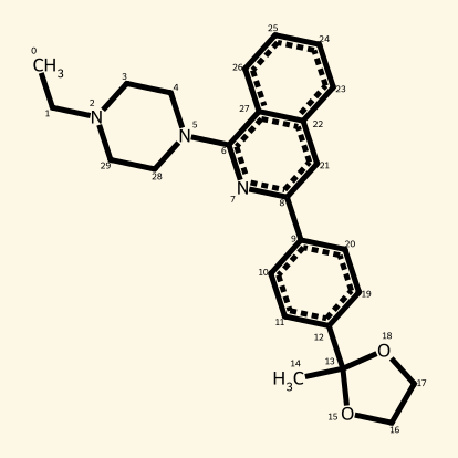 CCN1CCN(c2nc(-c3ccc(C4(C)OCCO4)cc3)cc3ccccc23)CC1